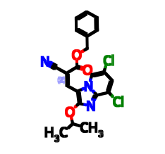 CC(C)Oc1nc2c(Cl)cc(Cl)cn2c1/C=C(/C#N)C(=O)OCc1ccccc1